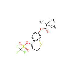 CC(C)(C)C(=O)Oc1ccc2c(c1)SCCC=C2OS(=O)(=O)C(F)(F)F